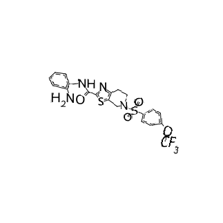 Nc1ccccc1NC(=O)c1nc2c(s1)CN(S(=O)(=O)c1ccc(OC(F)(F)F)cc1)CC2